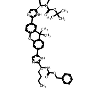 CCCC[C@H](NC(=O)OCc1ccccc1)c1ncc(-c2ccc3c(c2)Oc2ccc(-c4ncc([C@@H]5CCCN5C(=O)OC(C)(C)C)[nH]4)cc2C3(C)C)[nH]1